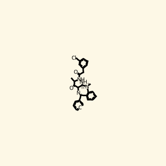 CC(NC(=O)Cc1cccc(Cl)c1)C(=O)C1N=C(c2ccccc2)c2ccccc2N(C)[C@@H]1N